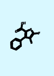 Cc1c(F)sc(C(=O)O)c1-c1ccccc1